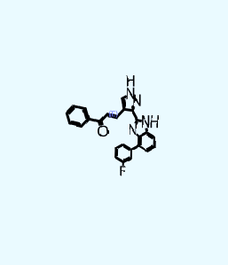 O=C(/C=C/c1c[nH]nc1-c1nc2c(-c3cccc(F)c3)cccc2[nH]1)c1ccccc1